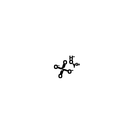 O=S(=O)([O-])[O-].[OH-].[Y+3]